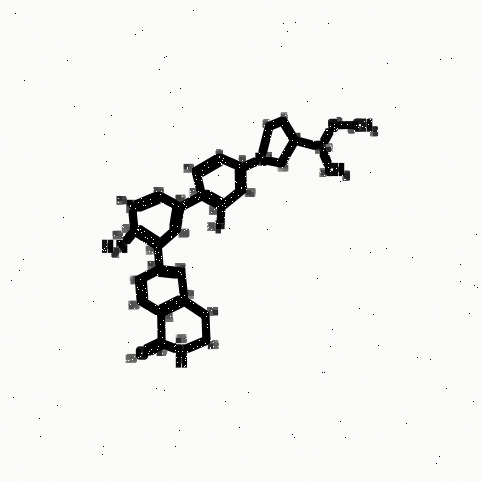 CSN(C)C1CCN(c2ccc(-c3cnc(N)c(-c4ccc5c(c4)CCNC5=O)c3)c(F)c2)C1